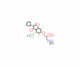 Cc1oc2c(F)c(OCC(O)CNC(C)C)c(F)c(F)c2c(=O)c1-c1ccccc1.Cl